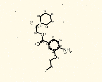 CCCOc1cc(C(=O)OC[C@H](C)N2CCCCC2)ccc1N